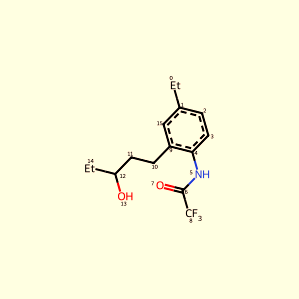 CCc1ccc(NC(=O)C(F)(F)F)c(CCC(O)CC)c1